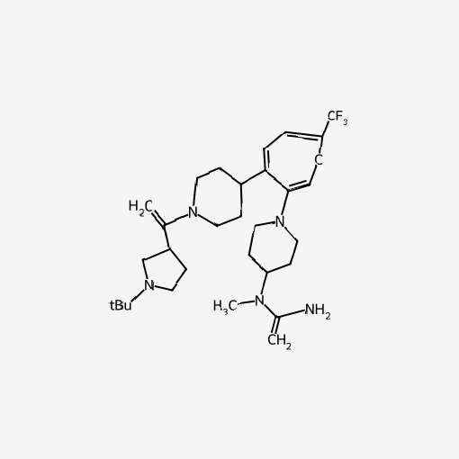 C=C(C1CCN(C(C)(C)C)C1)N1CCC(C2=CC=C(C(F)(F)F)CC=C2N2CCC(N(C)C(=C)N)CC2)CC1